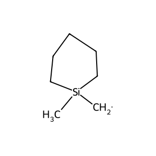 [CH2][Si]1(C)CCCCC1